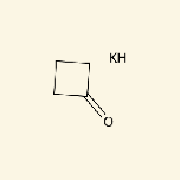 O=C1CCC1.[KH]